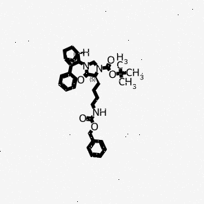 CC(C)(C)OC(=O)N1CN(C2C(c3ccccc3)C3CC[C@H]2C3)C(=O)[C@@H]1CCCCNC(=O)OCc1ccccc1